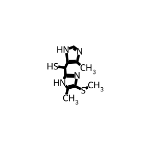 CSc1nc(C(S)c2[nH]cnc2C)[nH]c1C